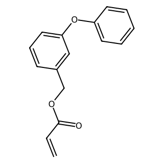 C=CC(=O)OCc1cccc(Oc2ccccc2)c1